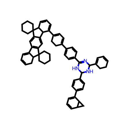 C1=CCCC(C2N=C(c3ccc(C4=CC=C(C5=CC=CC6C5c5cc7c(cc5C65CCCCC5)C5=CC=CCC5C75CCCCC5)CC4)cc3)NC(c3ccc(C4=CC=CC5CC45)cc3)N2)=C1